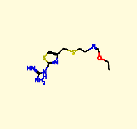 CCO/C=N\CCSCc1csc(NC(=N)N)n1